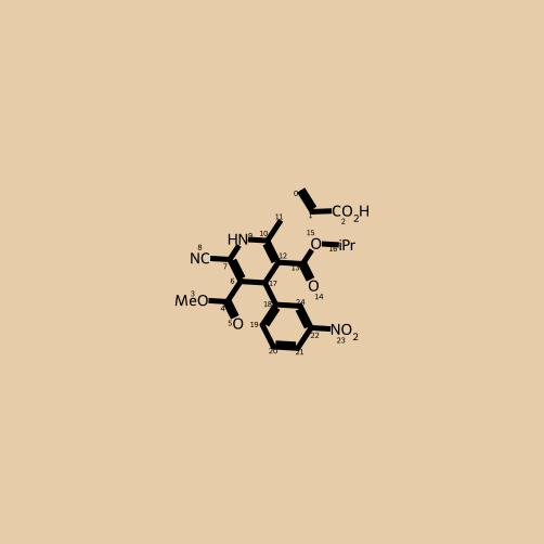 C=CC(=O)O.COC(=O)C1=C(C#N)NC(C)=C(C(=O)OC(C)C)C1c1cccc([N+](=O)[O-])c1